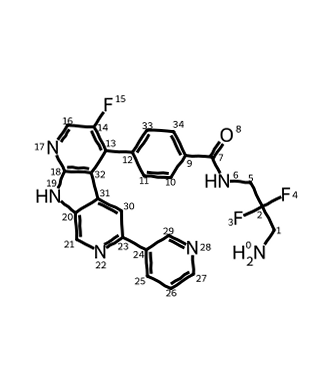 NCC(F)(F)CNC(=O)c1ccc(-c2c(F)cnc3[nH]c4cnc(-c5cccnc5)cc4c23)cc1